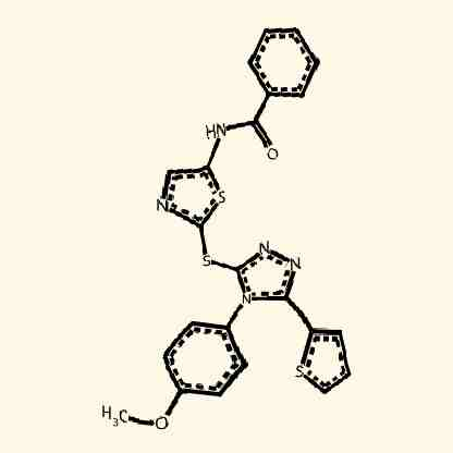 COc1ccc(-n2c(Sc3ncc(NC(=O)c4ccccc4)s3)nnc2-c2cccs2)cc1